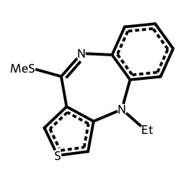 CCN1c2ccccc2N=C(SC)c2cscc21